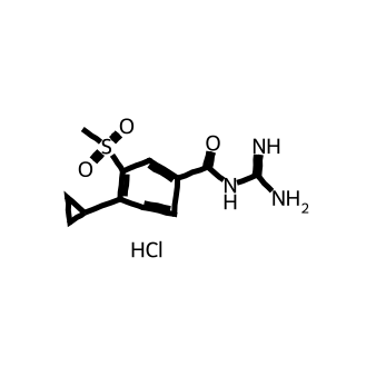 CS(=O)(=O)c1cc(C(=O)NC(=N)N)ccc1C1CC1.Cl